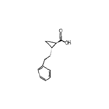 O=C(O)[C@@H]1C[C@H]1CCc1ccccc1